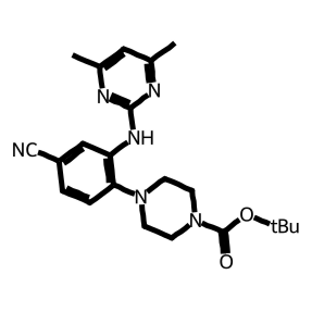 Cc1cc(C)nc(Nc2cc(C#N)ccc2N2CCN(C(=O)OC(C)(C)C)CC2)n1